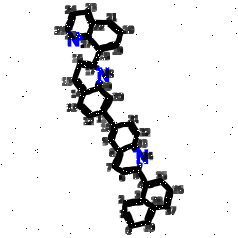 c1ccc2c(-c3ccc4cc(-c5ccc6ccc(-c7cccc8cccnc78)nc6c5)ccc4n3)cccc2c1